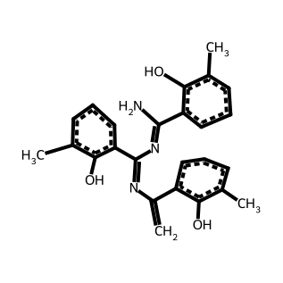 C=C(/N=C(\N=C(/N)c1cccc(C)c1O)c1cccc(C)c1O)c1cccc(C)c1O